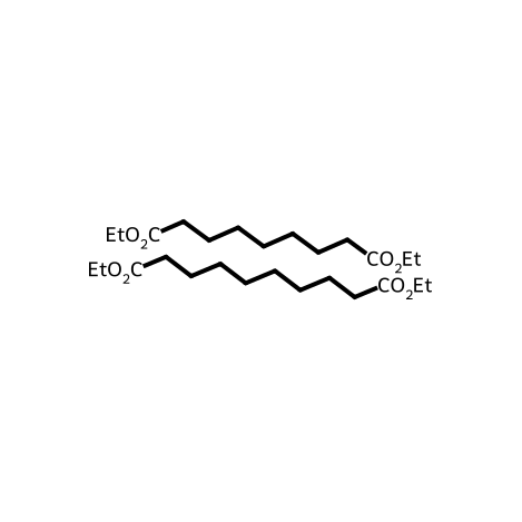 CCOC(=O)CCCCCCCC(=O)OCC.CCOC(=O)CCCCCCCCC(=O)OCC